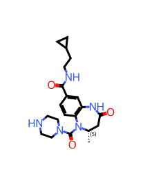 C[C@H]1CC(=O)Nc2cc(C(=O)NCCC3CC3)ccc2N1C(=O)N1CCNCC1